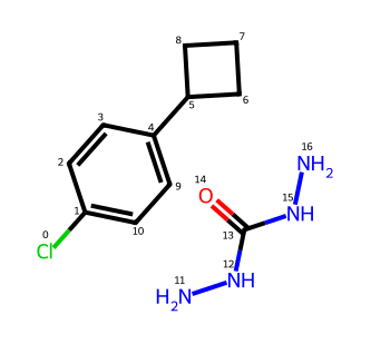 Clc1ccc(C2CCC2)cc1.NNC(=O)NN